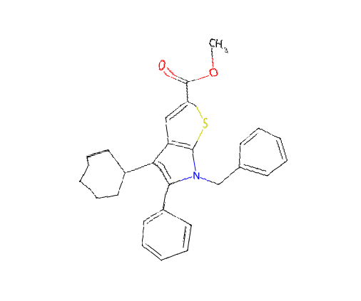 COC(=O)c1cc2c(C3CCCCC3)c(-c3ccccc3)n(Cc3ccccc3)c2s1